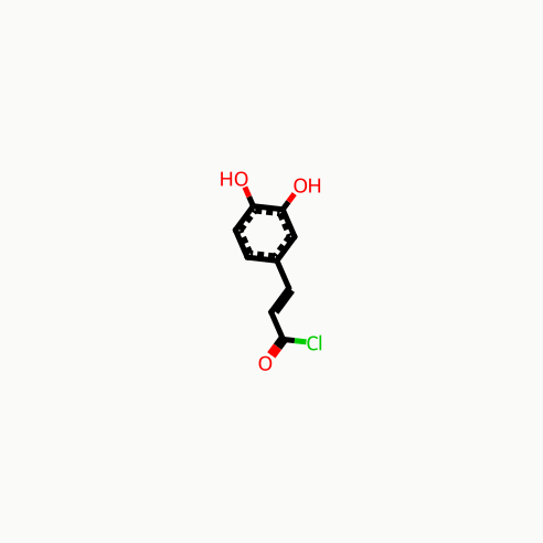 O=C(Cl)/C=C/c1ccc(O)c(O)c1